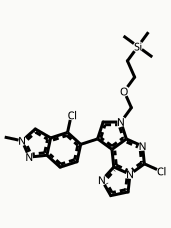 Cn1cc2c(Cl)c(-c3cn(COCC[Si](C)(C)C)c4nc(Cl)n5ccnc5c34)ccc2n1